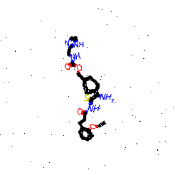 CCOc1ccccc1CCC(=O)Nc1sc2c(c1N)CCC(COC(=O)NCc1ncc[nH]1)C2